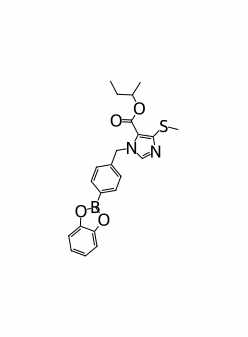 CCC(C)OC(=O)c1c(SC)ncn1Cc1ccc(B2Oc3ccccc3O2)cc1